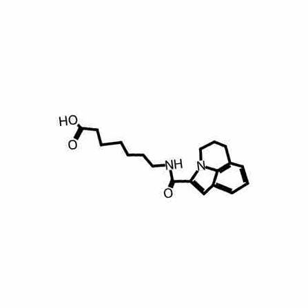 O=C(O)CCCCCCNC(=O)c1cc2cccc3c2n1CCC3